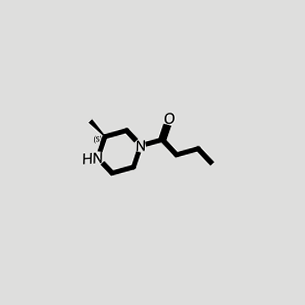 CCCC(=O)N1CCN[C@@H](C)C1